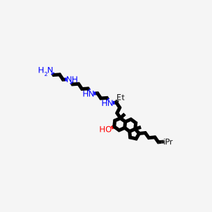 CCC(CCC1(C)CC(O)CC2C1CCC1(C)C(CCCCC(C)C)CCC21)NCCCNCCCCNCCCN